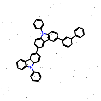 C1=CC(c2ccc3c(c2)c2cc(C4=CC5c6ccccc6N(c6ccccc6)C5C=C4)ccc2n3-c2ccccc2)=CC(c2ccccc2)C1